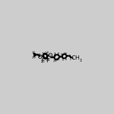 C/C=C/C1CCC(C2CC=C(COc3ccc(OCC4CC4)c(F)c3F)CC2)CC1